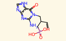 C=CC(Cn1c(N)nc2nc[nH]c2c1=O)CP(=O)(O)O